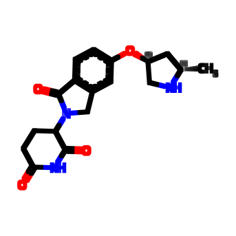 C[C@H]1C[C@H](Oc2ccc3c(c2)CN(C2CCC(=O)NC2=O)C3=O)CN1